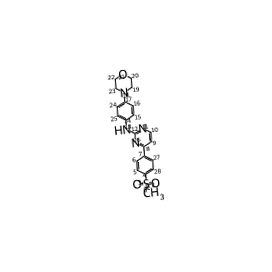 CS(=O)(=O)c1ccc(-c2ccnc(Nc3ccc(N4CCOCC4)cc3)n2)cc1